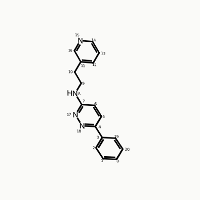 c1ccc(-c2ccc(NCCc3cccnc3)nn2)cc1